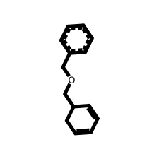 C1=CCC(COCc2ccccc2)C=C1